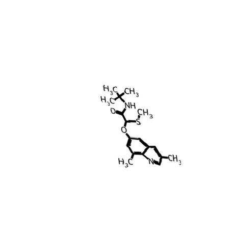 CSC(Oc1cc(C)c2ncc(C)cc2c1)C(=O)NC(C)(C)C